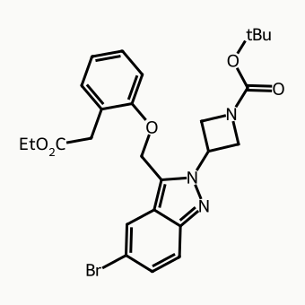 CCOC(=O)Cc1ccccc1OCc1c2cc(Br)ccc2nn1C1CN(C(=O)OC(C)(C)C)C1